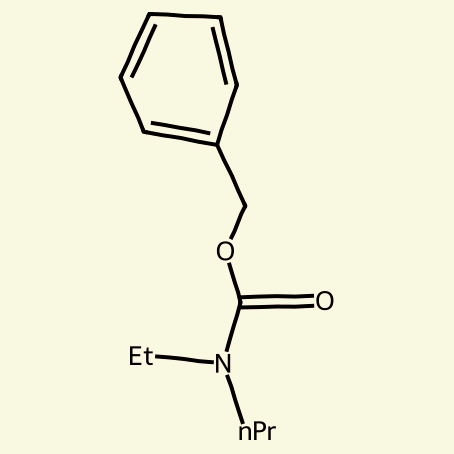 CCCN(CC)C(=O)OCc1ccccc1